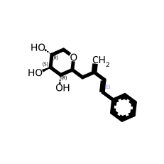 C=C(/C=C/c1ccccc1)CC1OC[C@@H](O)[C@H](O)[C@H]1O